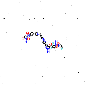 O=C1CCC(N2Cc3cc(C4CCN(CC5CC6(C5)CN(c5ccc(-c7cnc8[nH]cc(C(=O)c9c(F)ccc(NS(=O)(=O)N%10CC[C@@H](F)C%10)c9F)c8c7)cn5)C6)CC4)ccc3C2=O)C(=O)N1